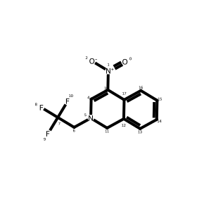 O=[N+]([O-])C1=CN(CC(F)(F)F)Cc2ccccc21